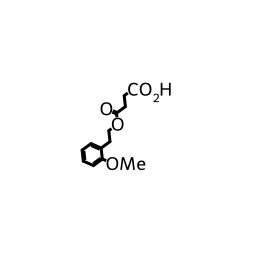 COc1ccccc1CCOC(=O)CCC(=O)O